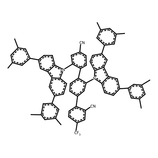 Cc1cc(C)cc(-c2ccc3c(c2)c2cc(-c4cc(C)cc(C)c4)ccc2n3-c2cc(C#N)ccc2-c2ccc(-c3ccc(C(F)(F)F)cc3C#N)cc2-n2c3ccc(-c4cc(C)cc(C)c4)cc3c3cc(-c4cc(C)cc(C)c4)ccc32)c1